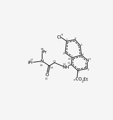 CCOC(=O)c1cnc2ccc(Cl)cc2c1NCC(=O)N(C(C)C)C(C)C